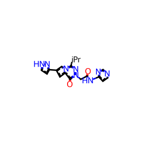 CC(C)c1nn(CC(=O)Nc2ccncn2)c(=O)c2cc(-c3cc[nH]n3)cn12